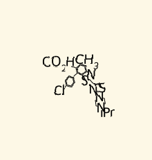 Cc1cc2nc(-c3csc(N4CCN(C(C)C)CC4)n3)sc2c(-c2ccc(Cl)cc2)c1CC(=O)O